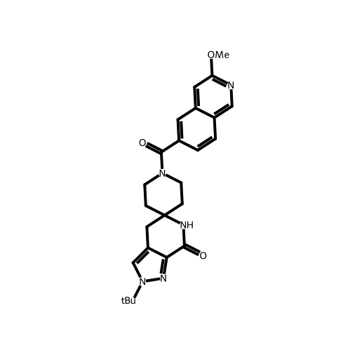 COc1cc2cc(C(=O)N3CCC4(CC3)Cc3cn(C(C)(C)C)nc3C(=O)N4)ccc2cn1